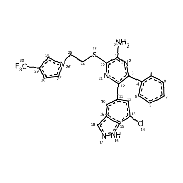 Nc1nc(-c2ccccc2)c(-c2cc(Cl)c3[nH]ncc3c2)nc1SCCn1ccc(C(F)(F)F)c1